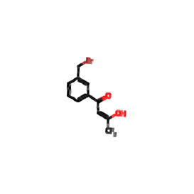 O=C(/C=C(\O)C(F)(F)F)c1cccc(CBr)c1